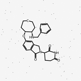 O=C1CCC(N2Cc3cc(O[C@H]4CCCCC[C@H]4NCc4ccccc4)ccc3C2=O)C(=O)N1